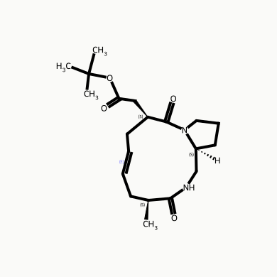 C[C@H]1C/C=C/C[C@@H](CC(=O)OC(C)(C)C)C(=O)N2CCC[C@H]2CNC1=O